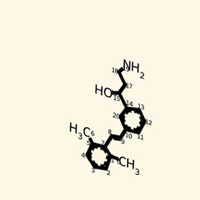 Cc1cccc(C)c1C=Cc1cccc(C(O)CCN)c1